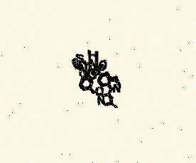 Cc1cnc(OCc2ccccc2)c(-c2nccc3cc(S(=O)(=O)Nc4nccs4)ccc23)c1